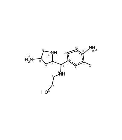 Cc1cc(C(NCCO)C2CC(N)CN2)ccc1N